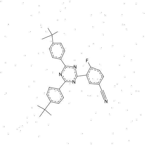 CC(C)(C)c1ccc(-c2nc(-c3ccc(C(C)(C)C)cc3)nc(-c3cc(C#N)ccc3F)n2)cc1